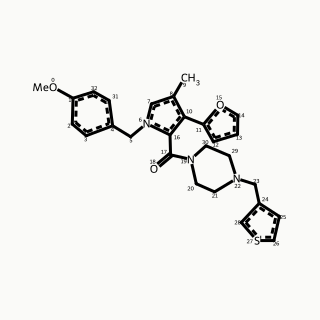 COc1ccc(Cn2cc(C)c(-c3ccco3)c2C(=O)N2CCN(Cc3ccsc3)CC2)cc1